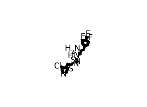 N[C@H](CNc1nnc(-c2cc3c(Cl)cncc3s2)s1)Cc1ccc(C(F)(F)F)cc1